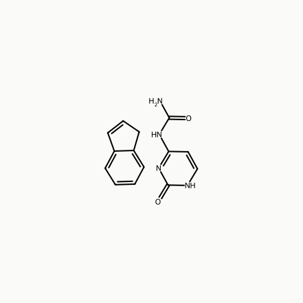 C1=Cc2ccccc2C1.NC(=O)Nc1cc[nH]c(=O)n1